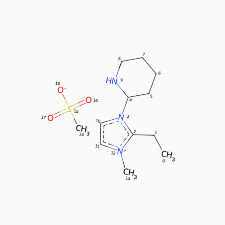 CCc1n(C2CCCCN2)cc[n+]1C.CS(=O)(=O)[O-]